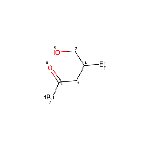 CCC(CO)CC(=O)C(C)(C)C